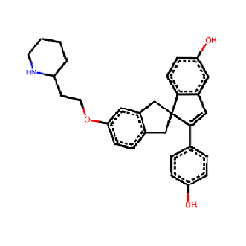 Oc1ccc(C2=Cc3cc(O)ccc3C23Cc2ccc(OCCC4CCCCN4)cc2C3)cc1